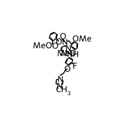 COC(=O)c1ccccc1OC(=O)N(Cc1cc(OC)ccc1OC)c1ccnc(Nc2ccc(OCCCN3CCN(C)CC3)c(F)c2)n1